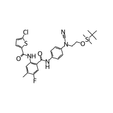 Cc1cc(NC(=O)c2ccc(Cl)s2)c(C(=O)Nc2ccc(N(C#N)CCO[Si](C)(C)C(C)(C)C)cc2)cc1F